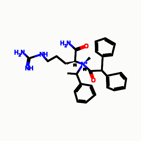 CC(c1ccccc1)[N@@+](C)(C(=O)C(c1ccccc1)c1ccccc1)[C@H](CCCNC(=N)N)C(N)=O